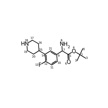 CC(C)(C)OC(=O)C(N)c1ccc(F)c(C2CCNCC2)c1